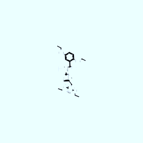 CCOc1ccc(OCC)c(C(=O)Nc2nc(CP(=O)(OCC)OCC)cs2)c1